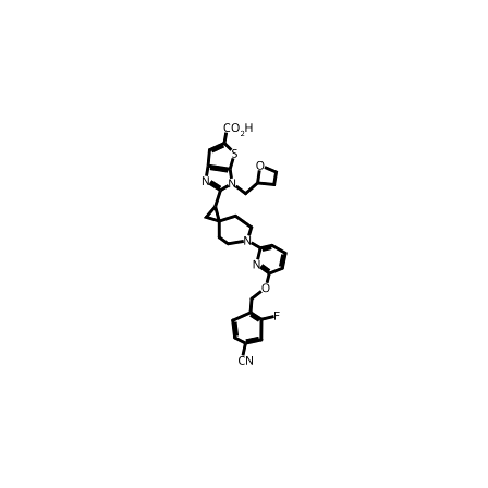 N#Cc1ccc(COc2cccc(N3CCC4(CC3)CC4c3nc4cc(C(=O)O)sc4n3CC3CCO3)n2)c(F)c1